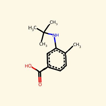 Cc1ccc(C(=O)O)cc1NC(C)(C)C